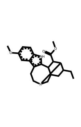 CCC1CC2CN3CCc4c([nH]c5ccc(OC)cc45)C2C(C(=O)OC)C13